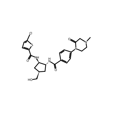 CN1CCN(c2ccc(C(=O)N[C@@H]3C[C@@H](CO)C[C@H]3NC(=O)c3ccc(Cl)s3)cc2)C(=O)C1